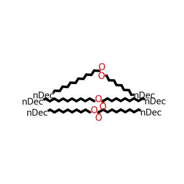 CCCCCCCCCCCCCCCCCCCCCC(=O)OCCCCCCCCCCCCCCCCCC.CCCCCCCCCCCCCCCCCCCCCCOC(=O)CCCCCCCCCCCCCCCCCCC.CCCCCCCCCCCCCCCCCCCCOC(=O)CCCCCCCCCCCCCCCCCCC